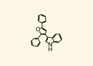 c1ccc(-c2cc(-c3c[nH]c4ccccc34)c(-c3ccccc3)o2)cc1